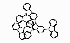 c1ccc(-n2c3ccc(-n4c5ccccc5c5ccccc54)cc3n3c4ccc5c6ccccc6n(-c6ccccc6-c6ccccc6-n6c7ccccc7c7ccccc76)c5c4nc23)cc1